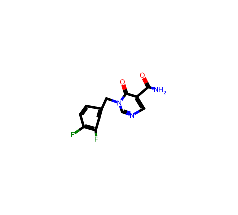 NC(=O)c1cncn(Cc2ccc(F)c(F)c2)c1=O